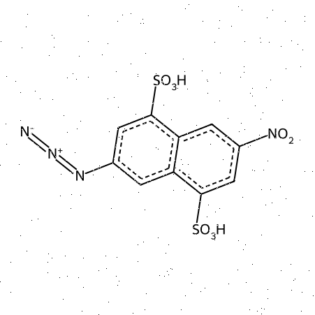 [N-]=[N+]=Nc1cc(S(=O)(=O)O)c2cc([N+](=O)[O-])cc(S(=O)(=O)O)c2c1